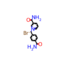 NC(=O)c1ccc(C[n+]2cccc(C(N)=O)c2)cc1.[Br-]